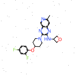 Cc1cc2nc(NC3COC3)c(N3CCC(Oc4ccc(F)cc4F)CC3)nc2cn1